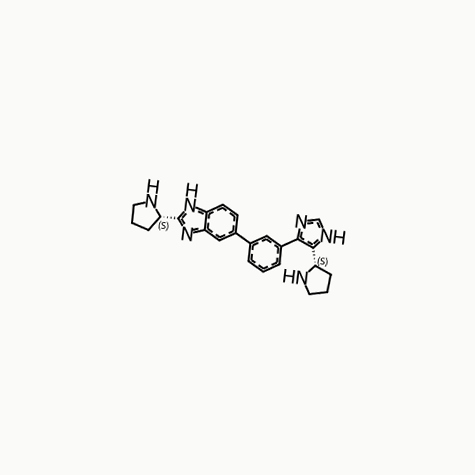 c1cc(-c2ccc3[nH]c([C@@H]4CCCN4)nc3c2)cc(-c2nc[nH]c2[C@@H]2CCCN2)c1